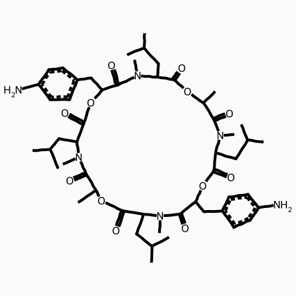 CC(C)CC1C(=O)OC(Cc2ccc(N)cc2)C(=O)N(C)C(CC(C)C)C(=O)OC(C)C(=O)N(C)C(CC(C)C)C(=O)OC(Cc2ccc(N)cc2)C(=O)N(C)C(CC(C)C)C(=O)OC(C)C(=O)N1C